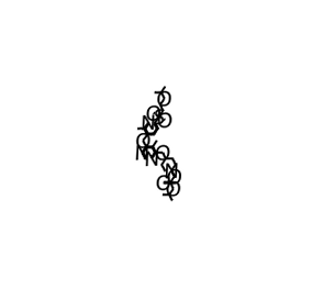 Cc1nc(S(=O)(=O)CCOC(C)C)ccc1Oc1ncnc(OC2CCN(OC(=O)OC(C)C)CC2)c1C